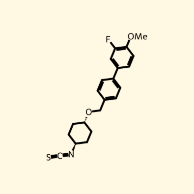 COc1ccc(-c2ccc(CO[C@H]3CC[C@H](N=C=S)CC3)cc2)cc1F